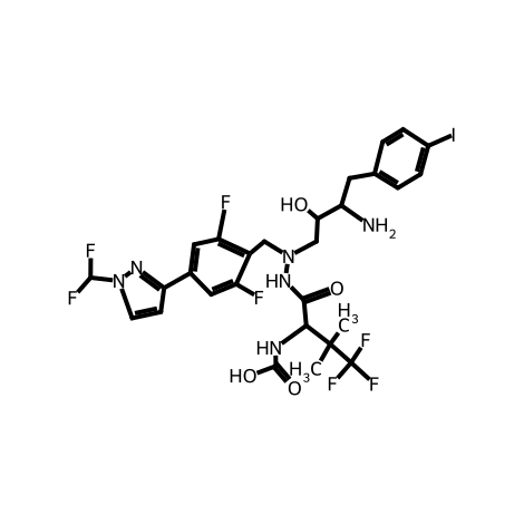 CC(C)(C(NC(=O)O)C(=O)NN(Cc1c(F)cc(-c2ccn(C(F)F)n2)cc1F)CC(O)C(N)Cc1ccc(I)cc1)C(F)(F)F